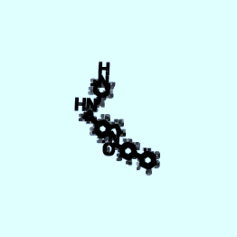 O=C(c1ccc(-c2ccccc2)cc1)N1CCc2cc(C3CC3NCC3CCNCC3)ccc21